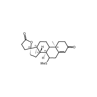 CSC1CC2=CC(=O)CC[C@]2(C)C2CC[C@@]3(C)[C@@H](CC[C@@]34CCC(=O)O4)[C@H]12